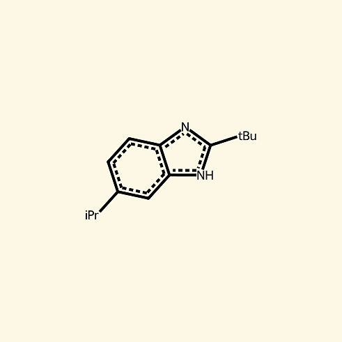 CC(C)c1ccc2nc(C(C)(C)C)[nH]c2c1